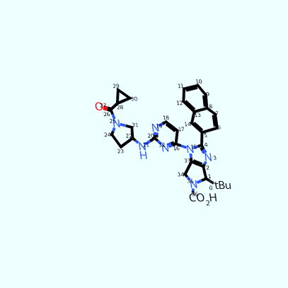 CC(C)(C)C1c2nc(-c3ccc4ccccc4c3)n(-c3ccnc(NC4CCN(C(=O)C5CC5)C4)n3)c2CN1C(=O)O